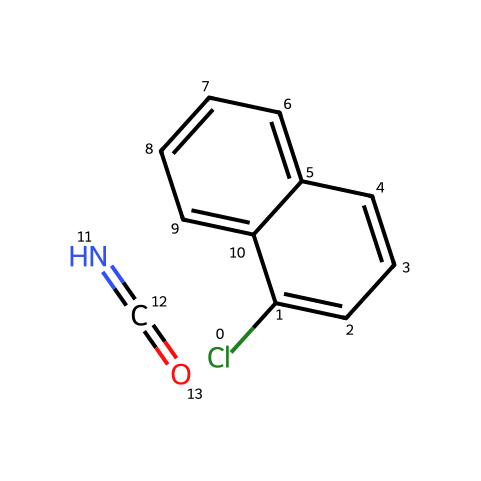 Clc1cccc2ccccc12.N=C=O